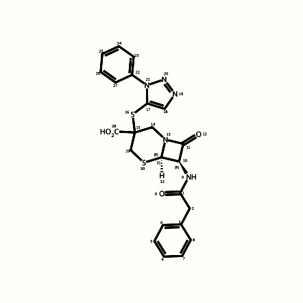 O=C(Cc1ccccc1)N[C@@H]1C(=O)N2CC(Sc3cnnn3-c3ccccc3)(C(=O)O)CS[C@H]12